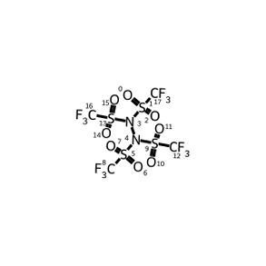 O=S(=O)(N(N(S(=O)(=O)C(F)(F)F)S(=O)(=O)C(F)(F)F)S(=O)(=O)C(F)(F)F)C(F)(F)F